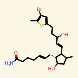 Cc1sc(CCC(O)C=C[C@H]2C(C)CC(O)[C@@H]2CC=CCCCC(N)=O)cc1Br